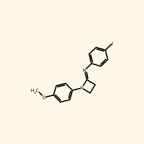 COc1ccc(N2CCC2=Nc2ccc(I)cc2)cc1